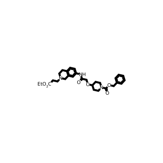 CCOC(=O)CCN1CCc2ccc(NC(=O)COC3CCN(C(=O)OCc4ccccc4)CC3)cc2C1